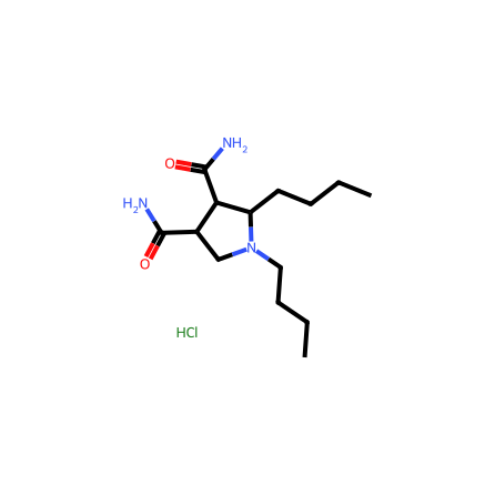 CCCCC1C(C(N)=O)C(C(N)=O)CN1CCCC.Cl